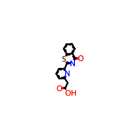 O=C(O)Cc1cccc(-c2nc(=O)c3ccccc3s2)n1